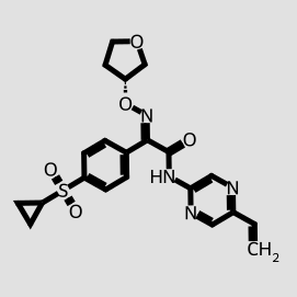 C=Cc1cnc(NC(=O)/C(=N/O[C@@H]2CCOC2)c2ccc(S(=O)(=O)C3CC3)cc2)cn1